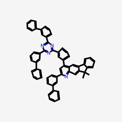 CC1(C)c2ccccc2-c2cc3c(-c4cccc(-c5nc(-c6cccc(-c7ccccc7)c6)nc(-c6cccc(-c7ccccc7)c6)n5)c4)cc(-c4cccc(-c5ccccc5)c4)nc3cc21